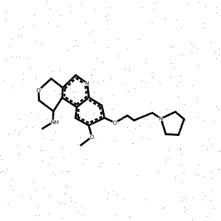 CNC1COCc2cnc3cc(OCCCN4CCCC4)c(OC)cc3c21